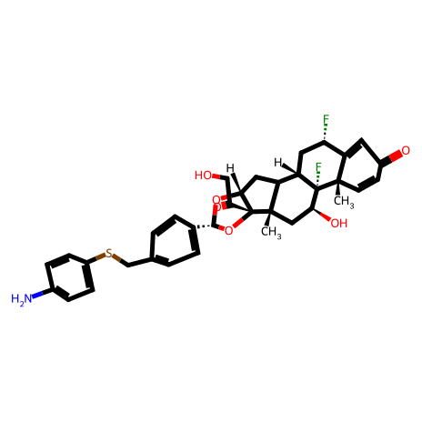 C[C@]12C=CC(=O)C=C1[C@@H](F)C[C@H]1C3C[C@H]4O[C@@H](c5ccc(CSc6ccc(N)cc6)cc5)O[C@@]4(C(=O)CO)[C@@]3(C)C[C@H](O)[C@@]12F